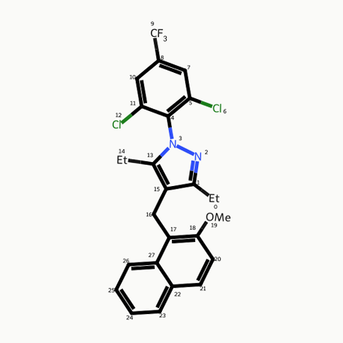 CCc1nn(-c2c(Cl)cc(C(F)(F)F)cc2Cl)c(CC)c1Cc1c(OC)ccc2ccccc12